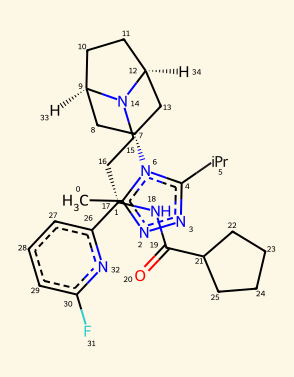 Cc1nnc(C(C)C)n1[C@@H]1C[C@H]2CC[C@@H](C1)N2CC[C@H](NC(=O)C1CCCC1)c1cccc(F)n1